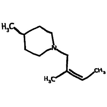 C/C=C(/C)CN1CCC(C)CC1